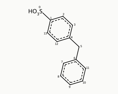 O=S(=O)(O)c1ccc(Cc2ccccc2)cc1